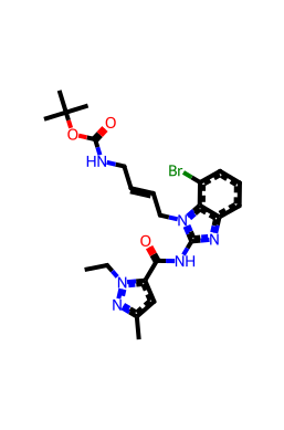 CCn1nc(C)cc1C(=O)Nc1nc2cccc(Br)c2n1CC=CCNC(=O)OC(C)(C)C